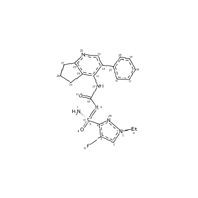 CCn1cc(F)c([S@@](N)(=O)=NC(=O)Nc2c(-c3ccccc3)cnc3c2CCC3)n1